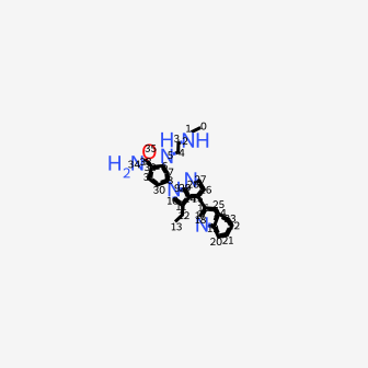 CCNCCNc1cc(-n2cc(CC)c3c(-c4cnc5ccccc5c4)ccnc32)ccc1C(N)=O